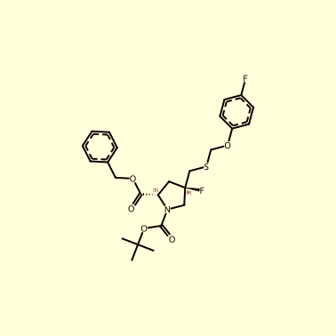 CC(C)(C)OC(=O)N1C[C@@](F)(CSCOc2ccc(F)cc2)C[C@H]1C(=O)OCc1ccccc1